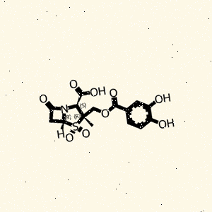 C[C@]1(COC(=O)c2ccc(O)c(O)c2)[C@H](C(=O)O)N2C(=O)C[C@H]2S1(=O)=O